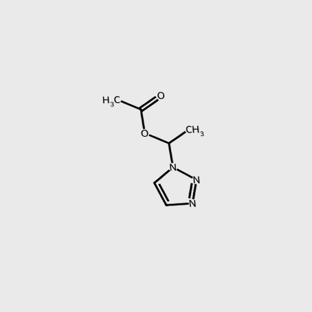 CC(=O)OC(C)n1ccnn1